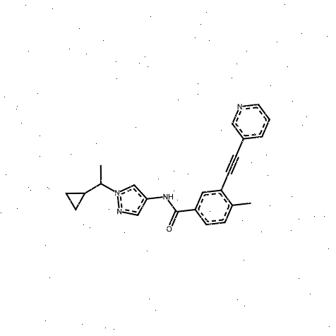 Cc1ccc(C(=O)Nc2cnn(C(C)C3CC3)c2)cc1C#Cc1cccnc1